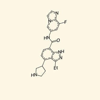 CCc1n[nH]c2c(C(=O)Nc3cc(F)c4nccn4c3)ccc(C3CCNC3)c12